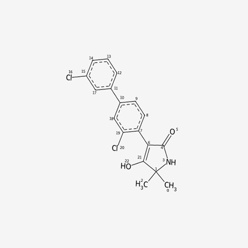 CC1(C)NC(=O)C(c2ccc(-c3cccc(Cl)c3)cc2Cl)=C1O